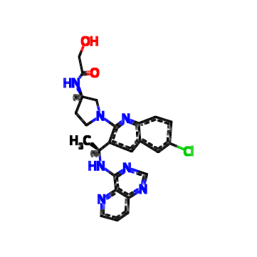 C[C@H](Nc1ncnc2cccnc12)c1cc2cc(Cl)ccc2nc1N1CC[C@@H](NC(=O)CO)C1